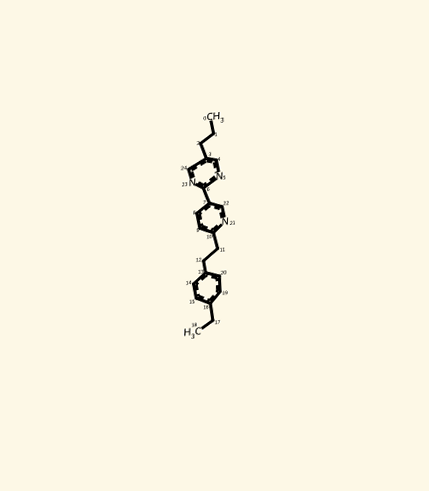 CCCc1cnc(-c2ccc(CCc3ccc(CC)cc3)nc2)nc1